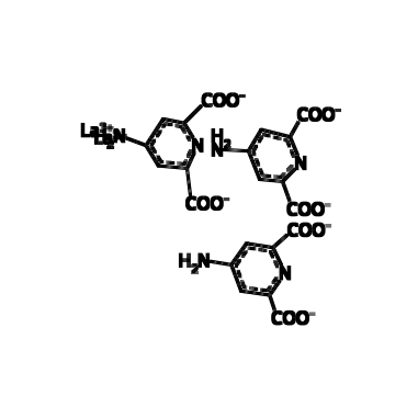 Nc1cc(C(=O)[O-])nc(C(=O)[O-])c1.Nc1cc(C(=O)[O-])nc(C(=O)[O-])c1.Nc1cc(C(=O)[O-])nc(C(=O)[O-])c1.[La+3].[La+3]